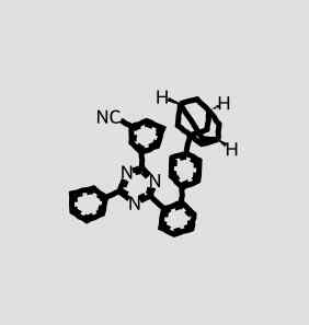 N#Cc1cccc(-c2nc(-c3ccccc3)nc(-c3ccccc3-c3ccc(C45C[C@H]6C[C@@H](C4)C[C@@H](C5)C6)cc3)n2)c1